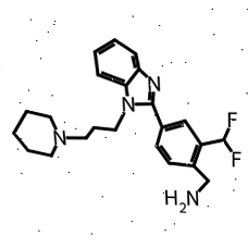 NCc1ccc(-c2nc3ccccc3n2CCCN2CCCCC2)cc1C(F)F